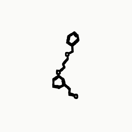 O=CCc1cccc(OCCCOCc2ccccc2)c1